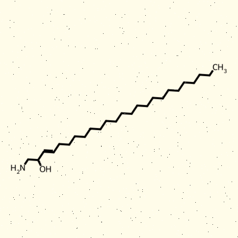 CCCCCCCCCCCCCCCCCCCCCC=CC(O)CN